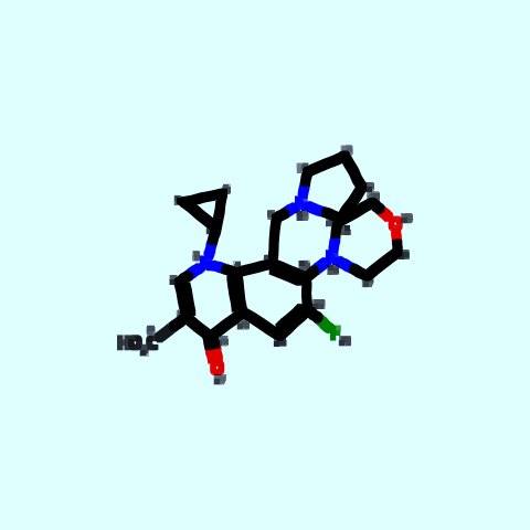 O=C(O)c1cn(C2CC2)c2c(CN3CCCC3)c(N3CCOCC3)c(F)cc2c1=O